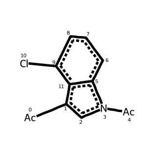 CC(=O)c1cn(C(C)=O)c2cccc(Cl)c12